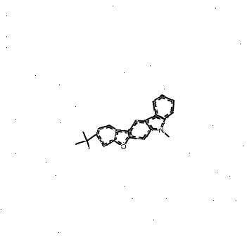 Cn1c2ccccc2c2cc3c(cc21)oc1cc(C(C)(C)C)ccc13